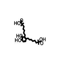 CC(C)(CCCCCCc1ccc(O)c(O)c1CCCCCC(C)(C)C(=O)O)C(=O)O